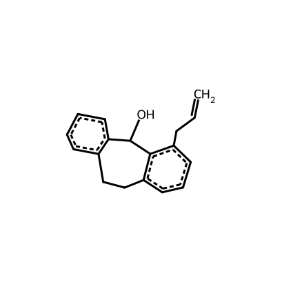 C=CCc1cccc2c1C(O)c1ccccc1CC2